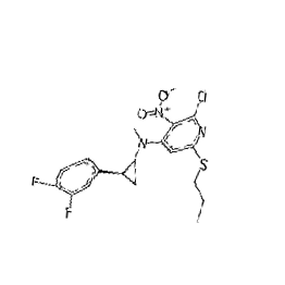 CCCSc1cc(N(C)C2C[C@H]2c2ccc(F)c(F)c2)c([N+](=O)[O-])c(Cl)n1